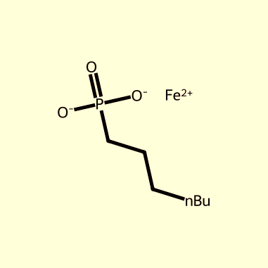 CCCCCCCP(=O)([O-])[O-].[Fe+2]